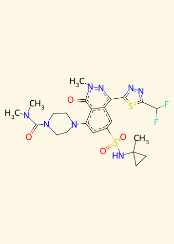 CN(C)C(=O)N1CCN(c2cc(S(=O)(=O)NC3(C)CC3)cc3c(-c4nnc(C(F)F)s4)nn(C)c(=O)c23)CC1